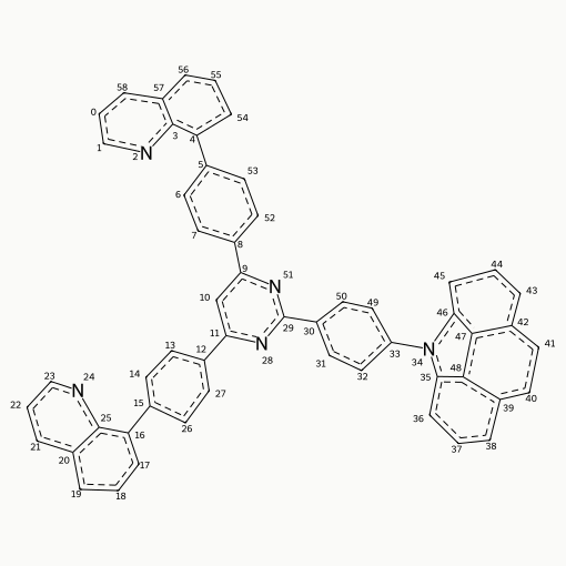 c1cnc2c(-c3ccc(-c4cc(-c5ccc(-c6cccc7cccnc67)cc5)nc(-c5ccc(-n6c7cccc8ccc9cccc6c9c87)cc5)n4)cc3)cccc2c1